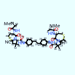 CN[C@@H](C)C(=O)N[C@H]1CCSC(C)[C@H]2CC(C)(C)[C@@H](C(=O)Nc3ccc(CCc4ccc(NC(=O)[C@H]5N6C(=O)[C@@H](NC(=O)[C@H](C)NC)CCS[C@]6(C#N)CC5(C)C)cc4)cc3)N2C1=O